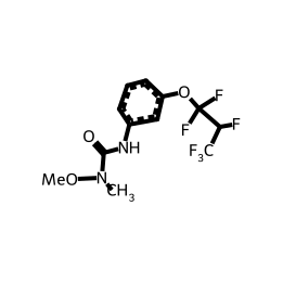 CON(C)C(=O)Nc1cccc(OC(F)(F)C(F)C(F)(F)F)c1